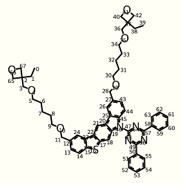 CCC1(COCCCCCOCc2ccc3sc4cc5c(cc4c3c2)c2cc(COCCCCCOCC3(CC)COC3)ccc2n5-c2nc(-c3ccccc3)nc(-c3ccccc3)n2)COC1